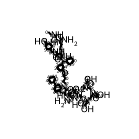 CCNC(=O)/N=C(/N)NCCC[C@@H](NC(=O)[C@@H](c1ccccc1)c1cccc(OCCCCNC(=O)[C@@H](Cc2ccc(-c3ccccc3)cc2)NC(=O)[C@@H](CN)NC(C=O)N2CCN(CC(=O)O)CCN(CC(=O)O)CCN(CC(=O)O)CC2)c1)C(=O)NCc1ccc(O)cc1